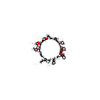 CCCC[C@H]1C(=O)N2C[C@@H](O)C[C@@H]2C(=O)N[C@@H](CC(=O)O)C(=O)N[C@@H](C(C)C)C(=O)N(C)[C@@H](Cc2ccccc2)C(=O)N[C@@H](Cc2ccc(O)cc2)C(=O)N2CCC[C@@H]2C(=O)N[C@@H]([C@@H](C)c2c[nH]c3ccccc23)C(=O)N[C@@H](Cc2ccc(O)cc2)C(=O)N[C@@H](CC(C)C)C(=O)N[C@H](C(=O)NCC(N)=O)CSCC(=O)N[C@@H](Cc2cc(F)c(F)c(F)c2)C(=O)N(C)[C@@H](Cc2ccccc2)C(=O)N1C